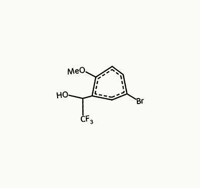 COc1ccc(Br)cc1C(O)C(F)(F)F